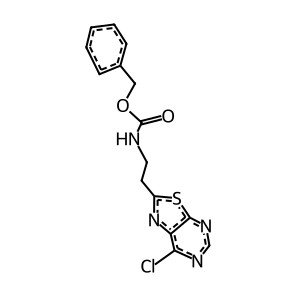 O=C(NCCc1nc2c(Cl)ncnc2s1)OCc1ccccc1